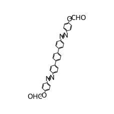 O=COc1ccc(/N=N/c2ccc(-c3ccc(-c4ccc(/N=N/c5ccc(OC=O)cc5)cc4)cc3)cc2)cc1